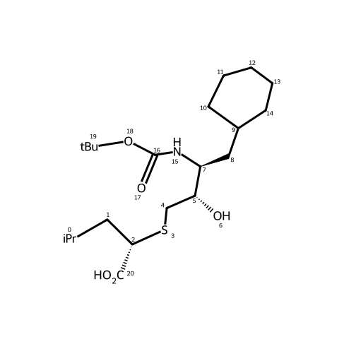 CC(C)C[C@H](SC[C@@H](O)[C@H](CC1CCCCC1)NC(=O)OC(C)(C)C)C(=O)O